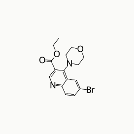 CCOC(=O)c1cnc2ccc(Br)cc2c1N1CCOCC1